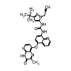 C#CCn1nc(C(C)(C)C)cc1NC(=O)Nc1ccc(Oc2ccnc3[nH]c(=O)c(C)nc23)c2cccnc12